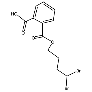 O=C(O)c1ccccc1C(=O)OCCCC(Br)Br